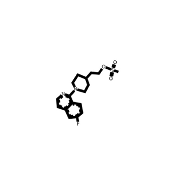 CS(=O)(=O)OCCC1CCN(c2nccc3cc(F)ccc23)CC1